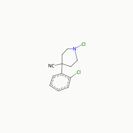 N#CC1(c2ccccc2Cl)CCN(Cl)CC1